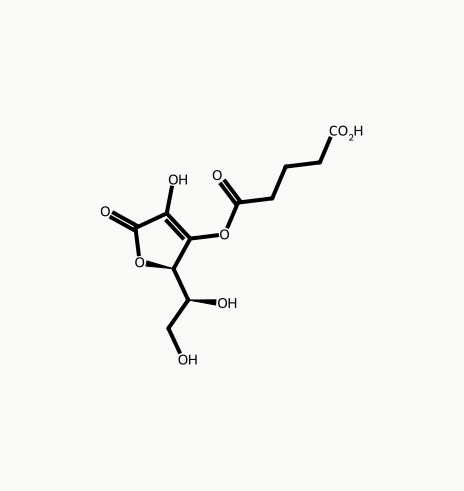 O=C(O)CCCC(=O)OC1=C(O)C(=O)O[C@@H]1[C@@H](O)CO